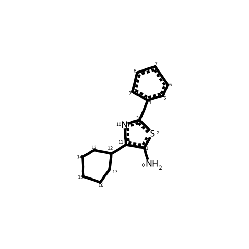 Nc1sc(-c2ccccc2)nc1C1CCCCC1